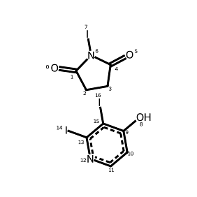 O=C1CCC(=O)N1I.Oc1ccnc(I)c1I